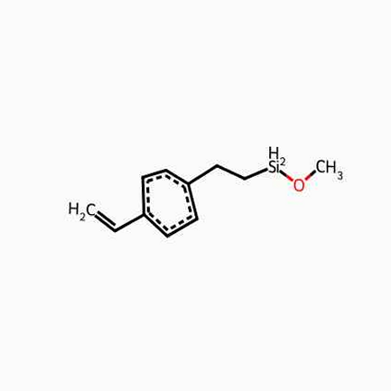 C=Cc1ccc(CC[SiH2]OC)cc1